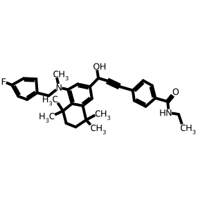 CCNC(=O)c1ccc(C#CC(O)c2cc(N(C)Cc3ccc(F)cc3)c3c(c2)C(C)(C)CCC3(C)C)cc1